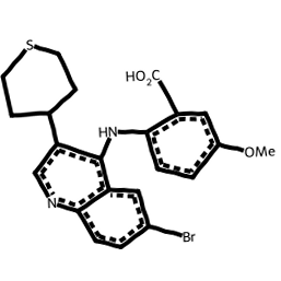 COc1ccc(Nc2c(C3CCSCC3)cnc3ccc(Br)cc23)c(C(=O)O)c1